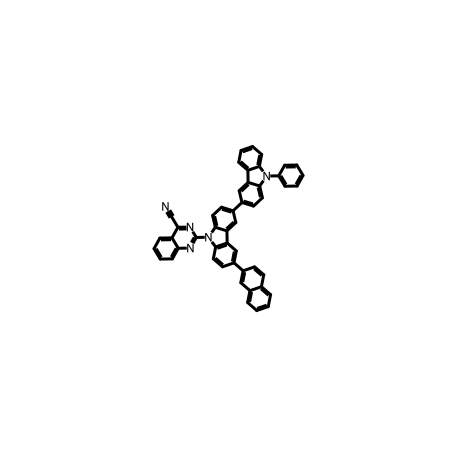 N#Cc1nc(-n2c3ccc(-c4ccc5ccccc5c4)cc3c3cc(-c4ccc5c(c4)c4ccccc4n5-c4ccccc4)ccc32)nc2ccccc12